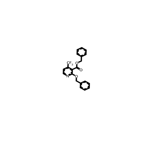 O=C(OCc1ccccc1)c1c(C(F)(F)F)ccnc1OCc1ccccc1